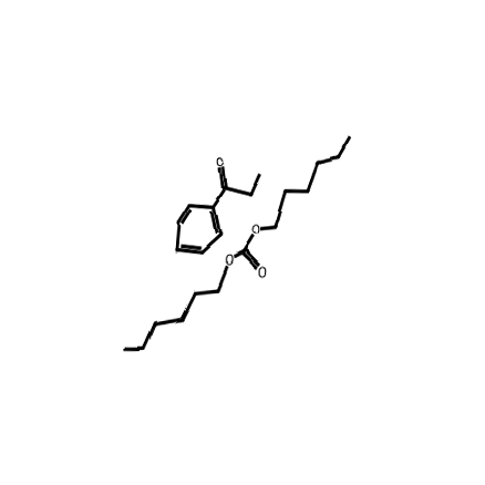 CCC(=O)c1ccccc1.CCCCCCOC(=O)OCCCCCC